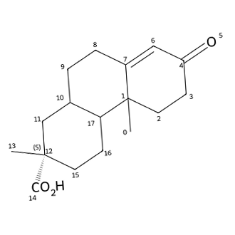 CC12CCC(=O)C=C1CCC1C[C@@](C)(C(=O)O)CCC12